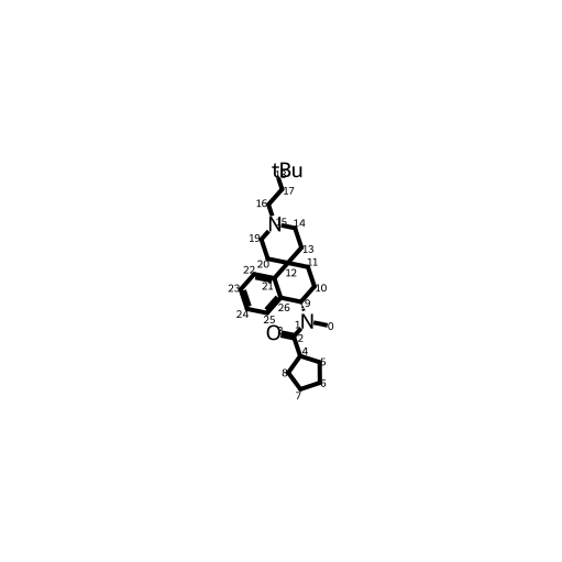 CN(C(=O)C1CCCC1)[C@H]1CCC2(CCN(CCC(C)(C)C)CC2)c2ccccc21